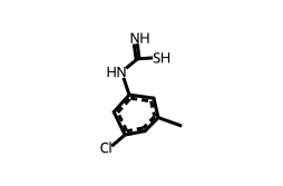 Cc1cc(Cl)cc(NC(=N)S)c1